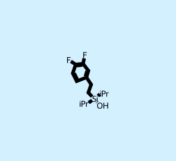 CC(C)[Si](O)(CCc1ccc(F)c(F)c1)C(C)C